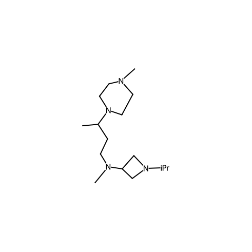 CC(C)N1CC(N(C)CCC(C)N2CCN(C)CC2)C1